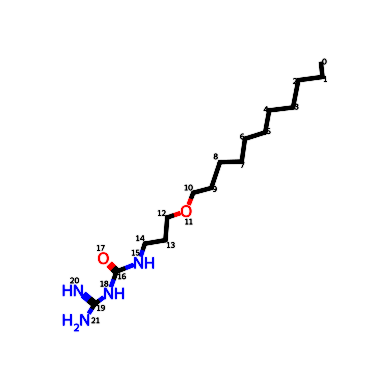 CCCCCCCCCCCOCCCNC(=O)NC(=N)N